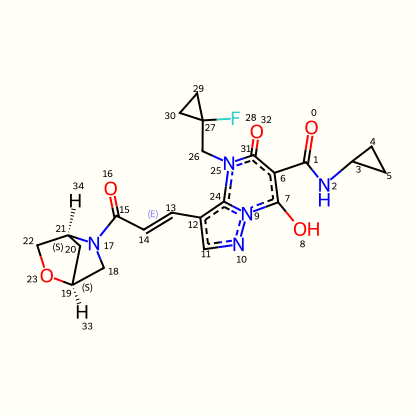 O=C(NC1CC1)c1c(O)n2ncc(/C=C/C(=O)N3C[C@@H]4C[C@H]3CO4)c2n(CC2(F)CC2)c1=O